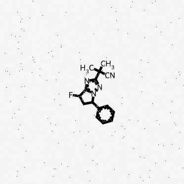 CC(C)(C#N)c1nc2n(n1)C(c1ccccc1)CC2F